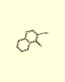 CCCCc1cnc2ccccn2c1=S